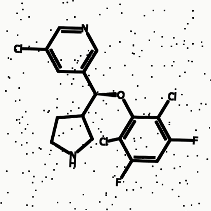 Fc1cc(F)c(Cl)c(O[C@H](c2cncc(Cl)c2)C2CCNC2)c1Cl